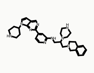 c1ccc2c(c1)CCN(CC(CNc1cc(-c3ncc4ccn(C5CCNCC5)c4n3)ccn1)N1CCNCC1)C2